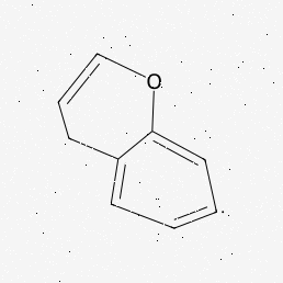 [c]1ccc2c(c1)OC=CC2